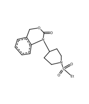 CCS(=O)(=O)N1CCC(N2C(=O)OCc3ccccc32)CC1